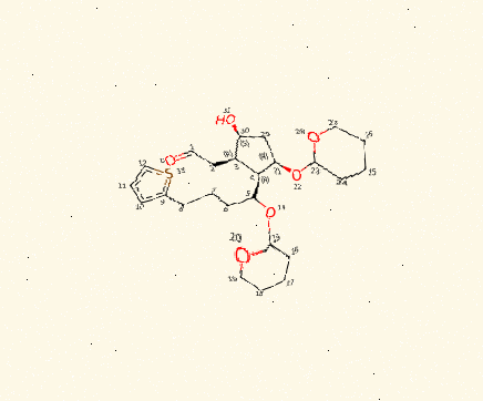 O=CC[C@@H]1[C@H](C(CCCc2cccs2)OC2CCCCO2)[C@H](OC2CCCCO2)C[C@@H]1O